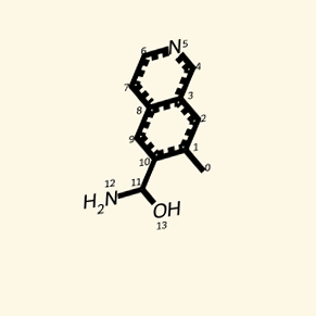 Cc1cc2cnccc2cc1C(N)O